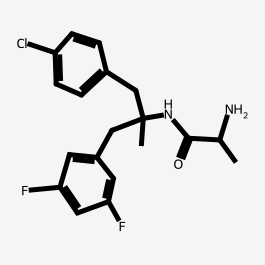 CC(N)C(=O)NC(C)(Cc1ccc(Cl)cc1)Cc1cc(F)cc(F)c1